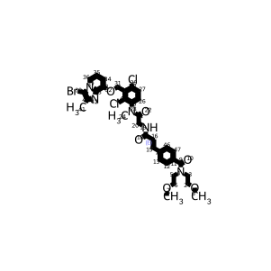 COCCN(CCOC)C(=O)c1ccc(/C=C/C(=O)NCC(=O)N(C)c2ccc(Cl)c(COc3cccn4c(Br)c(C)nc34)c2Cl)cc1